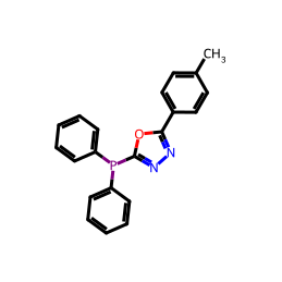 Cc1ccc(-c2nnc(P(c3ccccc3)c3ccccc3)o2)cc1